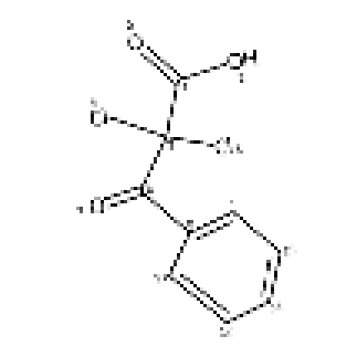 O=C(O)C(Cl)(Cl)C(=O)c1ccccc1